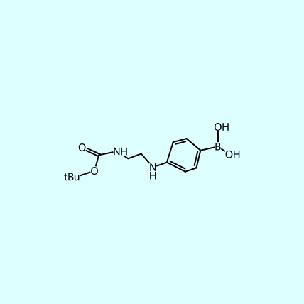 CC(C)(C)OC(=O)NCCNc1ccc(B(O)O)cc1